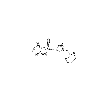 Nc1nccnc1C(=O)Nc1cnn(Cc2ccccn2)c1